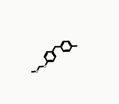 COCOc1ccc(Cc2ccc(C)cc2)cc1